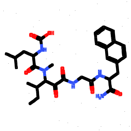 CCC(C)C(C(=O)C(=O)NCC(=O)NC(Cc1ccc2ccccc2c1)C(N)=O)N(C)C(=O)C(CC(C)C)NC(=O)O